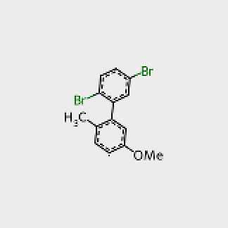 COc1[c]cc(C)c(-c2cc(Br)ccc2Br)c1